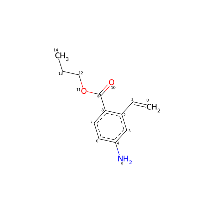 C=Cc1cc(N)ccc1C(=O)OCCC